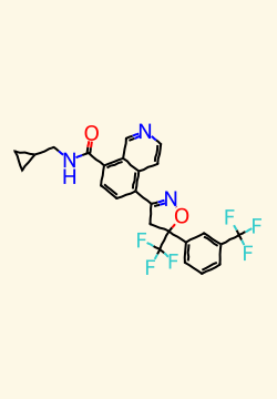 O=C(NCC1CC1)c1ccc(C2=NOC(c3cccc(C(F)(F)F)c3)(C(F)(F)F)C2)c2ccncc12